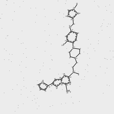 CN(CCN1CCN(c2ccc(OCc3ncn(C)n3)cc2F)CC1)c1nc(N)n2nc(-c3ccco3)cc2n1